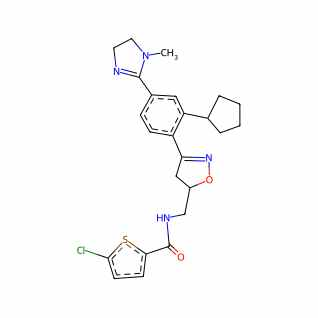 CN1CCN=C1c1ccc(C2=NOC(CNC(=O)c3ccc(Cl)s3)C2)c(C2CCCC2)c1